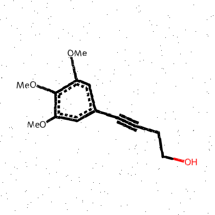 COc1cc(C#CCCO)cc(OC)c1OC